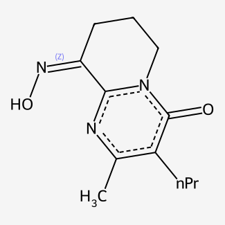 CCCc1c(C)nc2n(c1=O)CCC/C2=N/O